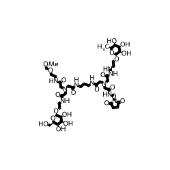 COCOCCNC(=O)CN(CC(=O)NCCCNC(=O)CN(CC(=O)NNCCO[C@@H]1O[C@@H](C)[C@@H](O)[C@@H](O)[C@@H]1O)CC(=O)NON1C(=O)CCC1=O)CC(=O)NCCO[C@H]1O[C@H](CO)[C@@H](O)[C@H](O)[C@@H]1O